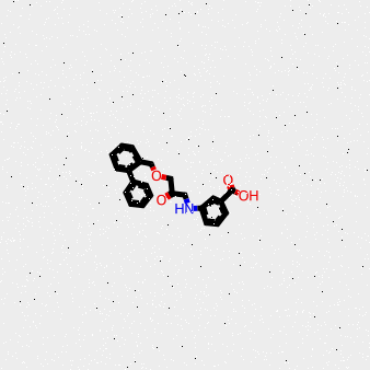 O=C(CNc1cccc(C(=O)O)c1)COCc1ccccc1-c1ccccc1